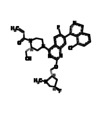 C=CC(=O)N1CCN(c2nc(OC[C@@H]3C[C@@H](F)CN3C)nc3cc(-c4cncc5cccc(Cl)c45)c(F)cc23)C[C@@H]1CC#N